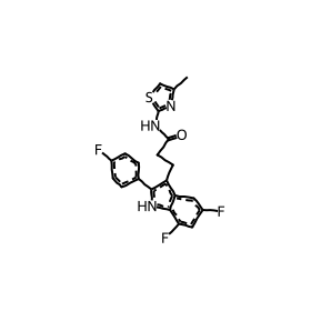 Cc1csc(NC(=O)CCc2c(-c3ccc(F)cc3)[nH]c3c(F)cc(F)cc23)n1